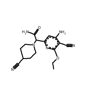 CCOc1nc(C(C(N)=O)N2CCC(C#N)CC2)cc(N)c1C#N